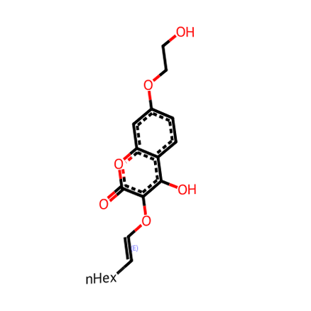 CCCCCC/C=C/Oc1c(O)c2ccc(OCCO)cc2oc1=O